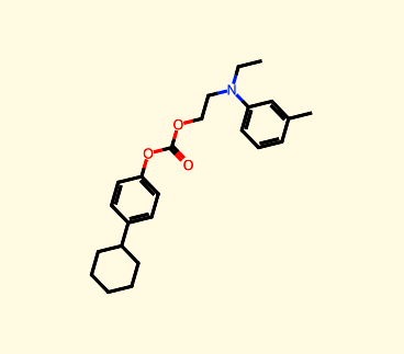 CCN(CCOC(=O)Oc1ccc(C2CCCCC2)cc1)c1cccc(C)c1